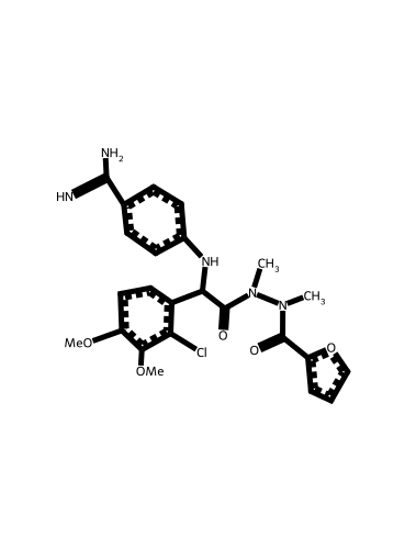 COc1ccc(C(Nc2ccc(C(=N)N)cc2)C(=O)N(C)N(C)C(=O)c2ccco2)c(Cl)c1OC